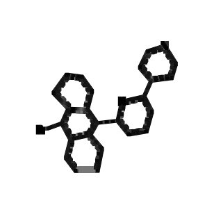 Brc1c2ccccc2c(-c2cccc(-c3ccncc3)n2)c2ccccc12